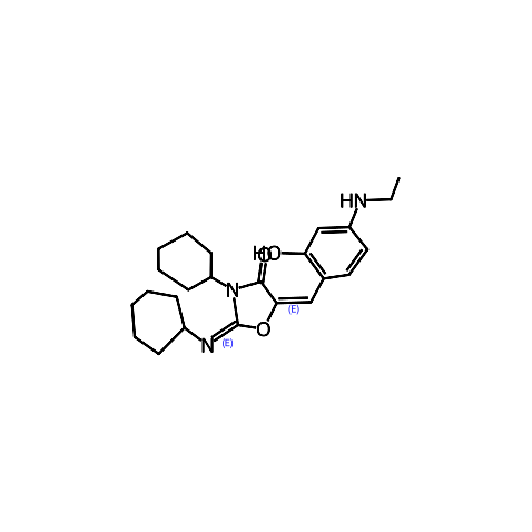 CCNc1ccc(/C=C2/O/C(=N/C3CCCCC3)N(C3CCCCC3)C2=O)c(O)c1